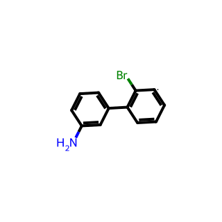 Nc1cccc(-c2ccc[c]c2Br)c1